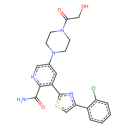 NC(=O)c1ncc(N2CCN(C(=O)CO)CC2)cc1-c1nc(-c2ccccc2Cl)cs1